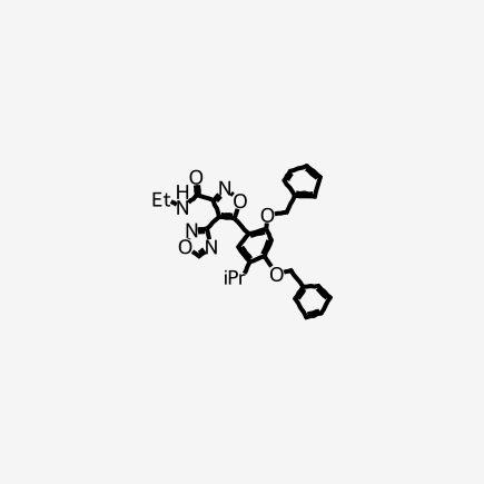 CCNC(=O)c1noc(-c2cc(C(C)C)c(OCc3ccccc3)cc2OCc2ccccc2)c1-c1ncon1